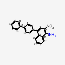 Nc1c([N+](=O)[O-])cc(-c2ccc(-c3ccccc3)cc2)c2ccccc12